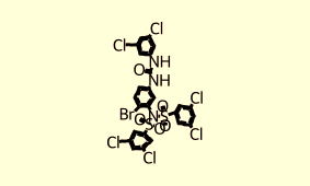 O=C(Nc1cc(Cl)cc(Cl)c1)Nc1ccc(Br)c(N(S(=O)(=O)c2cc(Cl)cc(Cl)c2)S(=O)(=O)c2cc(Cl)cc(Cl)c2)c1